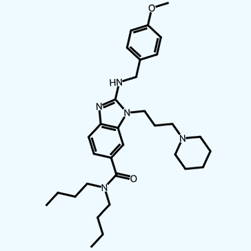 CCCCN(CCCC)C(=O)c1ccc2nc(NCc3ccc(OC)cc3)n(CCCN3CCCCC3)c2c1